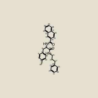 O=C(NC(Cc1ccc(F)cc1)C(=O)NCCCc1ccccc1)c1ccc2ccccc2c1